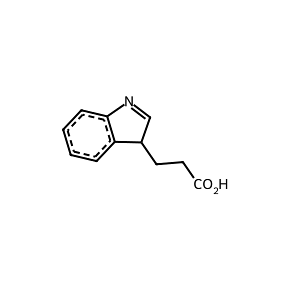 O=C(O)CCC1C=Nc2ccccc21